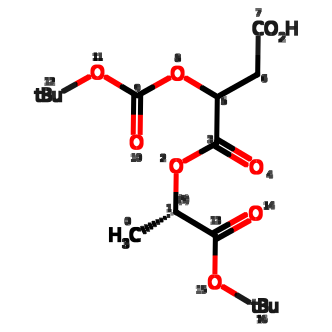 C[C@H](OC(=O)C(CC(=O)O)OC(=O)OC(C)(C)C)C(=O)OC(C)(C)C